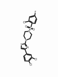 O=S(=O)(c1ccc(F)cc1Cl)N1CCN(c2nc(-c3ccc(Cl)c(Cl)c3)cs2)CC1